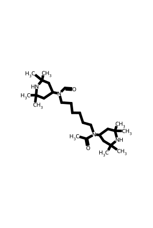 CC(=O)N(CCCCCCN(C=O)C1CC(C)(C)NC(C)(C)C1)C1CC(C)(C)NC(C)(C)C1